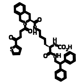 O=C(O)N[C@@H](CCCCNC(=O)[C@@H]1Cc2ccccc2CN1C(=O)CCC(=O)c1cccs1)C(=O)NCC(c1ccccc1)c1ccccc1